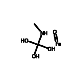 CNC(O)(O)O.[O]=[Fe]